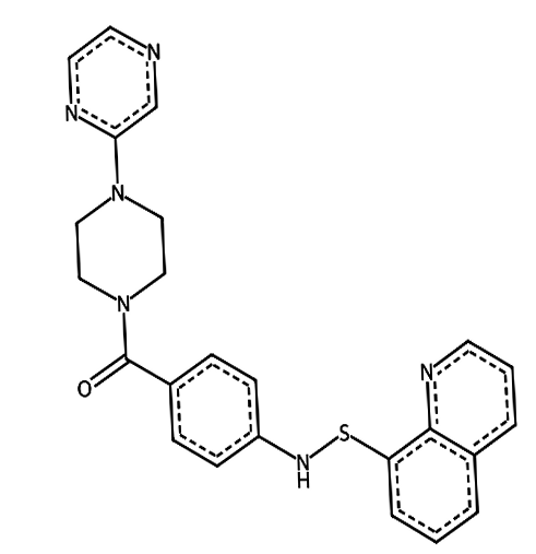 O=C(c1ccc(NSc2cccc3cccnc23)cc1)N1CCN(c2cnccn2)CC1